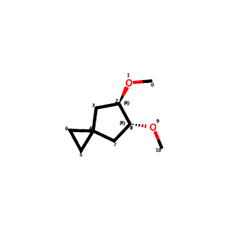 CO[C@@H]1CC2(CC2)C[C@H]1OC